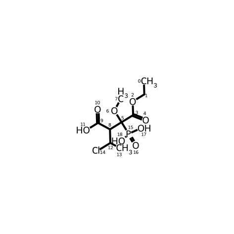 CCOC(=O)C(OC)(C(C(=O)O)C(C)Cl)P(=O)(O)O